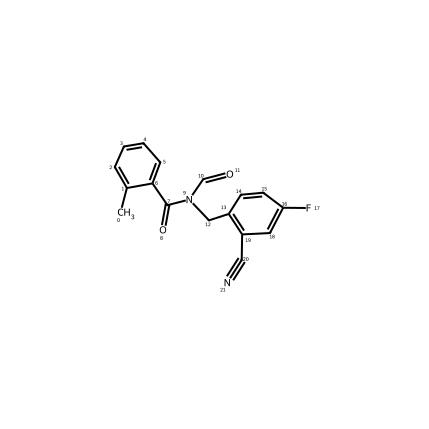 Cc1ccccc1C(=O)N(C=O)Cc1ccc(F)cc1C#N